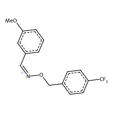 COc1cccc(/[C]=N\OCc2ccc(C(F)(F)F)cc2)c1